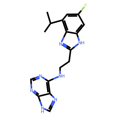 CC(C)c1cc(F)cc2[nH]c(CCNc3ncnc4[nH]cnc34)nc12